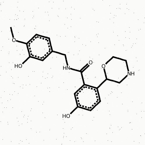 COc1ccc(CNC(=O)c2cc(O)ccc2C2CNCCO2)cc1O